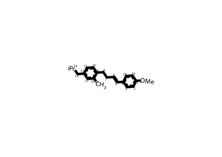 COc1ccc(/C=C/CCc2ccc(CC(C)C)cc2C)cc1